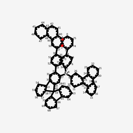 c1ccc(-c2ccc(N(c3ccc4c5ccccc5c5ccccc5c4c3)c3cc4c(cc3-c3ccc(-c5ccc6ccc7ccccc7c6c5)cc3)-c3ccccc3C43c4ccccc4-c4ccccc43)cc2)cc1